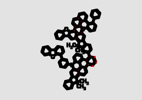 CC1(C)c2ccccc2-c2cc(N(c3cccc(-c4cccc5c4oc4ccccc45)c3)c3cccc(-c4ccccc4)c3-c3ccccc3-c3cccc(-c4ccc5c(c4)C(C)(C)c4ccc(N(c6ccccc6-c6cccc7c6oc6ccccc67)c6cccc(-c7ccccc7)c6-c6ccccc6-c6ccccc6)cc4-5)c3)ccc21